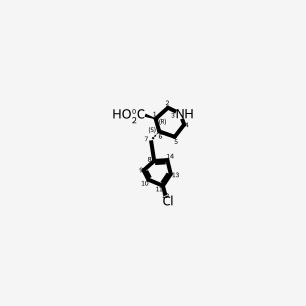 O=C(O)[C@H]1CNCC[C@@H]1Cc1ccc(Cl)cc1